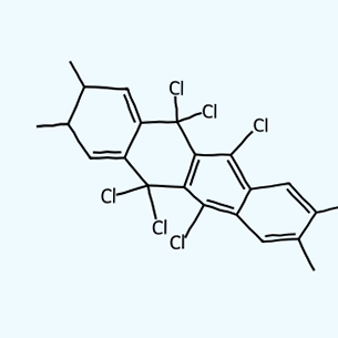 Cc1cc2c(Cl)c3c(c(Cl)c2cc1C)C(Cl)(Cl)C1=CC(C)C(C)C=C1C3(Cl)Cl